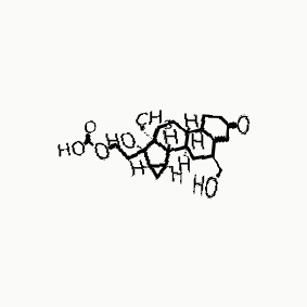 CC[C@]12CC[C@H]3[C@@H](C[C@H](CO)C4=CC(=O)CC[C@@H]43)[C@@H]1[C@H]1C[C@H]1[C@@]2(O)CCOC(=O)O